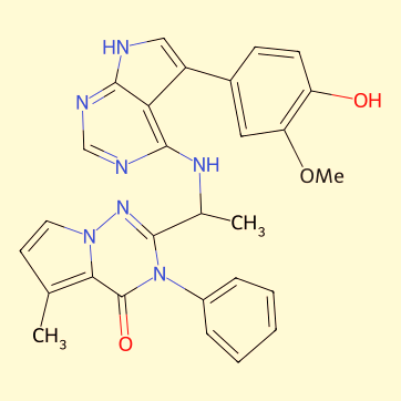 COc1cc(-c2c[nH]c3ncnc(NC(C)c4nn5ccc(C)c5c(=O)n4-c4ccccc4)c23)ccc1O